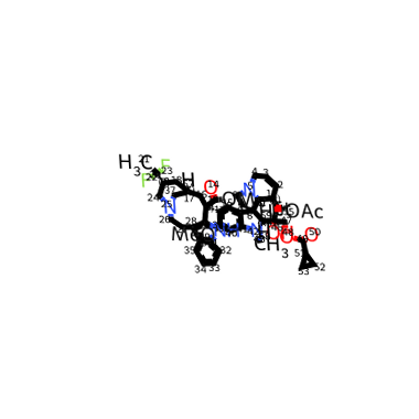 CC[C@]12C=CCN3CC[C@@]4(c5cc([C@@]6(C(=O)OC)C[C@@H]7C[C@@H](C(C)(F)F)CN(CCc8c6[nH]c6ccccc86)C7)c(OC)cc5N(C)[C@H]4C(O)(COC(=O)C4CC4)[C@@H]1OC(C)=O)[C@@H]32